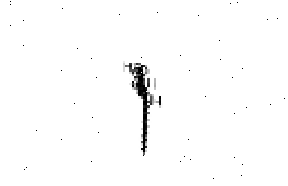 CCCCCCCCCCCCCCCCNc1ccc(C(=O)NCCS(=O)(=O)O)cc1